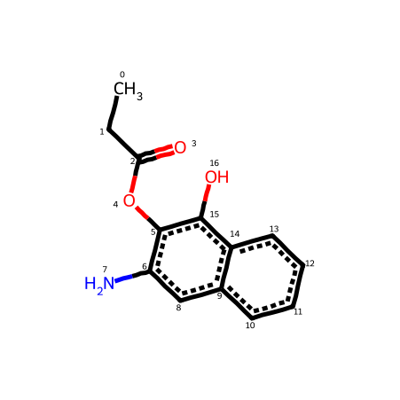 CCC(=O)Oc1c(N)cc2ccccc2c1O